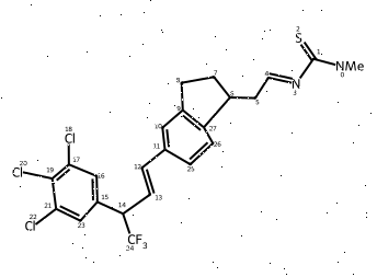 CNC(=S)/N=C/CC1CCc2cc(/C=C/C(c3cc(Cl)c(Cl)c(Cl)c3)C(F)(F)F)ccc21